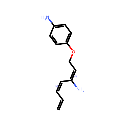 C=C/C=C\C(N)=C/COc1ccc(N)cc1